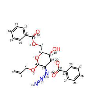 C=CCO[C@H]1O[C@H](COC(=O)c2ccccc2)[C@@H](O)[C@H](OC(=O)c2ccccc2)[C@H]1N=[N+]=[N-]